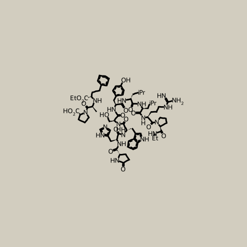 CCNC(=O)[C@@H]1CCCN1C(=O)[C@H](CCCNC(=N)N)NC(=O)[C@H](CC(C)C)NC(=O)[C@@H](CC(C)C)NC(=O)[C@H](Cc1ccc(O)cc1)NC(=O)[C@H](CO)NC(=O)[C@H](Cc1c[nH]c2ccccc12)NC(=O)[C@H](Cc1cnc[nH]1)NC(=O)[C@@H]1CCC(=O)N1.CCOC(=O)[C@H](CCc1ccccc1)N[C@@H](C)C(=O)N1CCC[C@H]1C(=O)O